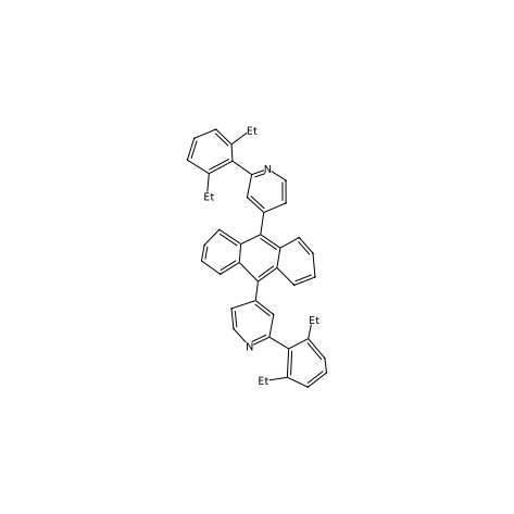 CCc1cccc(CC)c1-c1cc(-c2c3ccccc3c(-c3ccnc(-c4c(CC)cccc4CC)c3)c3ccccc23)ccn1